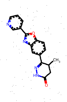 CC1CC(=O)NN=C1c1ccc2oc(-c3cccnc3)nc2c1